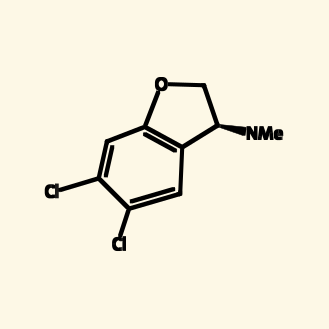 CN[C@@H]1COc2cc(Cl)c(Cl)cc21